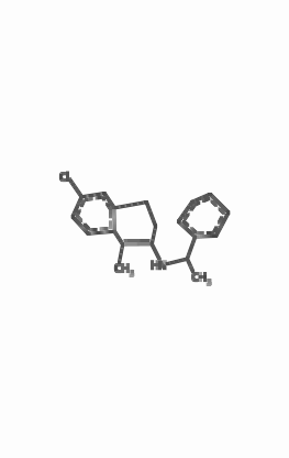 CC1=C(NC(C)c2ccccc2)CCc2cc(Cl)ccc21